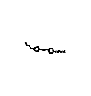 C=CCCc1ccc(C#Cc2ccc(CCCCC)cc2)cc1